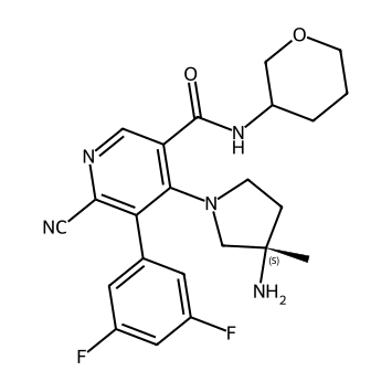 C[C@]1(N)CCN(c2c(C(=O)NC3CCCOC3)cnc(C#N)c2-c2cc(F)cc(F)c2)C1